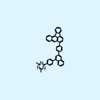 Cc1nc(C)nc(-c2ccc(-c3cc(-c4ccc(-c5ccc6c7c(c8ccccc8cc57)-c5ccccc5-6)cc4)cc4ccccc34)cc2)n1